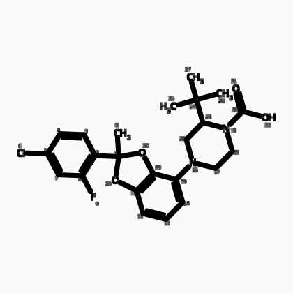 CC1(c2ccc(Cl)cc2F)Oc2cccc(N3CCN(C(=O)O)C(C(C)(C)C)C3)c2O1